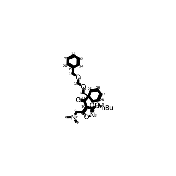 CCCCOc1noc(CN(C)C)c1C(=O)[C@]1(COCOCc2ccccc2)C=CC=CC1O